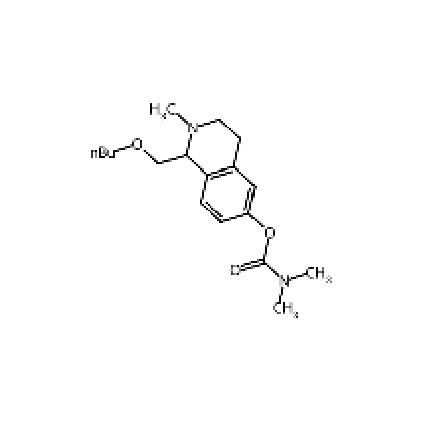 CCCCOCC1c2ccc(OC(=O)N(C)C)cc2CCN1C